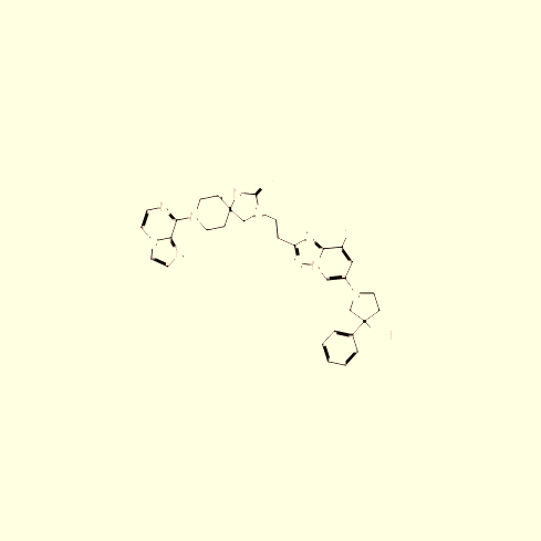 Cc1cc(N2CCC(C)(c3ccccc3)C2)cn2nc(CCN3CC4(CCN(c5nccn6ccnc56)CC4)NC3=O)nc12